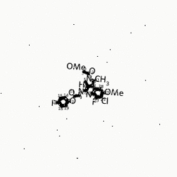 COCC(=O)N1Cc2c(NCC(=O)Oc3ccc(F)cc3)nc3c(F)c(Cl)c(OC)cc3c2[C@@H]1C